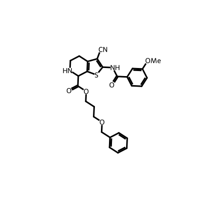 COc1cccc(C(=O)Nc2sc3c(c2C#N)CCNC3C(=O)OCCCOCc2ccccc2)c1